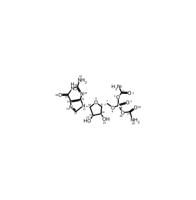 NC(=O)OP(=O)(OC[C@H]1O[C@@H](n2cnc3c(=O)[nH]c(N)nc32)[C@H](O)[C@@H]1O)OC(N)=O